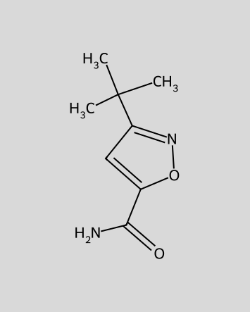 CC(C)(C)c1cc(C(N)=O)on1